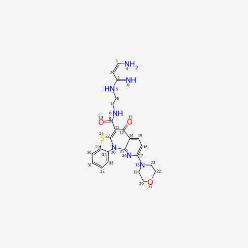 N=C(/C=C\N)NCCNC(=O)c1c(=O)c2ccc(N3CCOCC3)nc2n2c1sc1ccccc12